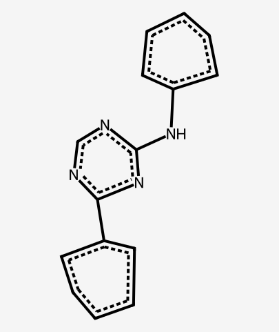 c1ccc(Nc2ncnc(-c3ccccc3)n2)cc1